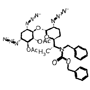 CC(=O)O[C@@H]1[C@@H](OC(C)=O)[C@H](N=[N+]=[N-])C[C@H](N=[N+]=[N-])[C@H]1O[C@H]1O[C@H]([C@@H](C)N(Cc2ccccc2)C(=O)OCc2ccccc2)CC[C@H]1N=[N+]=[N-]